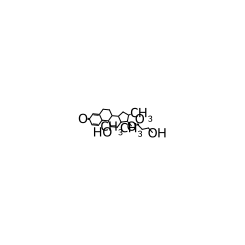 CC1CC2C3CCC4=CC(=O)C=CC4(C)C3C(O)CC2(C)C1OC(=O)CCO